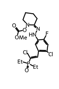 CCP(=O)(CC)C(Cl)=Cc1cc(NN=C2CCCCN2OC(=O)OC)c(F)cc1Cl